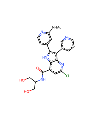 CC(=O)Nc1cc(-c2[nH]c3c(C(=O)NC(CO)CO)cc(Cl)nc3c2-c2cccnc2)ccn1